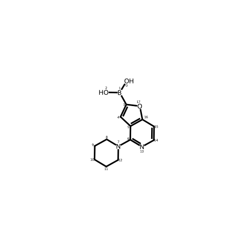 OB(O)c1cc2c(N3CCCCC3)nccc2o1